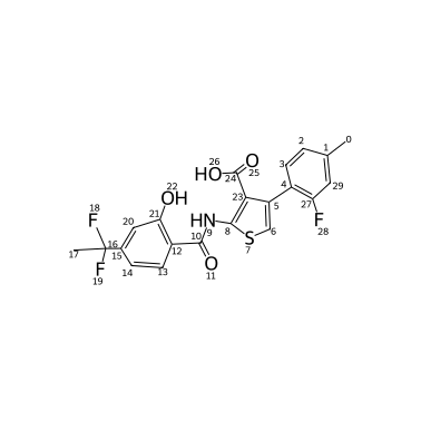 Cc1ccc(-c2csc(NC(=O)c3ccc(C(C)(F)F)cc3O)c2C(=O)O)c(F)c1